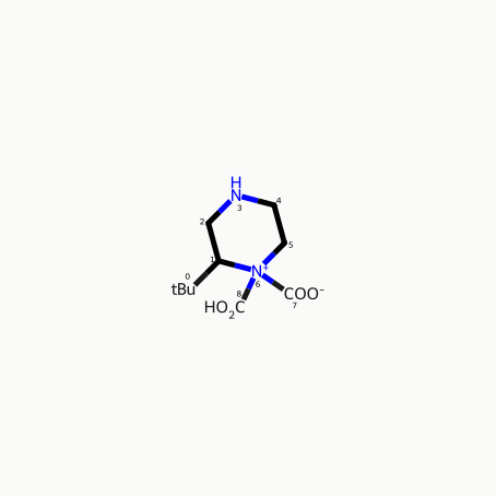 CC(C)(C)C1CNCC[N+]1(C(=O)[O-])C(=O)O